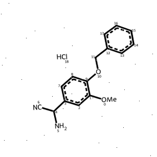 COc1cc(C(N)C#N)ccc1OCc1ccccc1.Cl